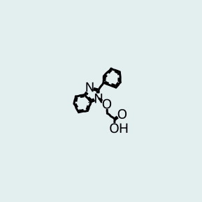 O=C(O)COn1c(-c2ccccc2)nc2ccccc21